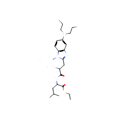 CCOC(=O)C(CC(C)C)NC(=O)C(N)Cc1nc2cc(N(CCCl)CCCl)ccc2n1C.Cl.Cl